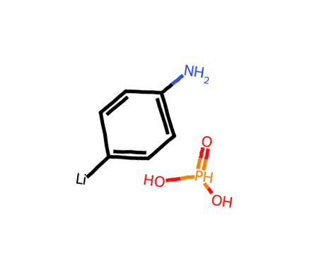 O=[PH](O)O.[Li][c]1ccc(N)cc1